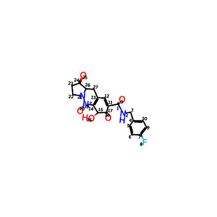 O=C(NCc1ccc(F)cc1)C1=CC2=C(C(O)C1=O)[N+](=O)N1CCC(=O)C1C2